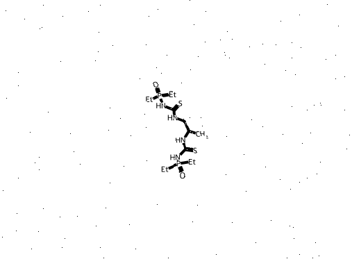 CCP(=O)(CC)NC(=S)NCC(C)NC(=S)NP(=O)(CC)CC